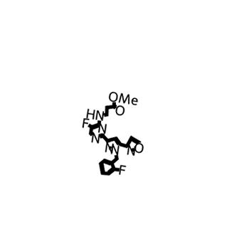 COC(=O)CCNc1nc(-c2cc(-c3ccon3)n(Cc3ccccc3F)n2)ncc1F